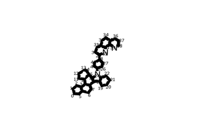 c1ccc2c(c1)ccc1c2c2ccccc2c2c1c1ccccc1n2-c1ccc(-c2ccc3ccc4cccnc4c3n2)cc1